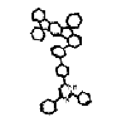 C1=CC(C2CC=CC3C2C2=CC4C(CC2C32CCCCC2)C2CCCC=C2C42CCCCC2)CC(C2CC=C(C3C=C(C4CC=CCC4)N=C(C4CC=CCC4)N3)CC2)=C1